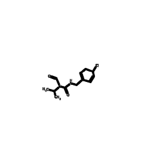 CC(C)N(C=O)C(=O)NCC1=CCC(Cl)C=C1